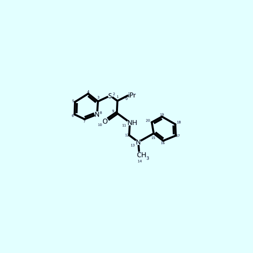 CC(C)C(Sc1ccccn1)C(=O)NCN(C)c1ccccc1